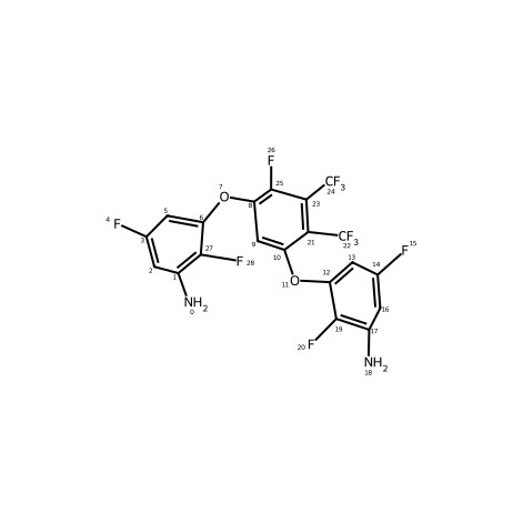 Nc1cc(F)cc(Oc2cc(Oc3cc(F)cc(N)c3F)c(C(F)(F)F)c(C(F)(F)F)c2F)c1F